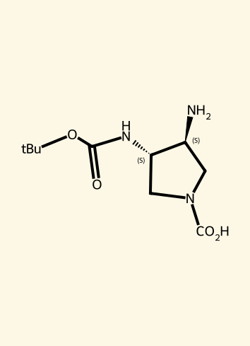 CC(C)(C)OC(=O)N[C@H]1CN(C(=O)O)C[C@@H]1N